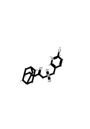 O=C(CS(=O)(=O)Cc1ccc(Cl)nc1)C12CC3CC(CC(C3)C1)C2